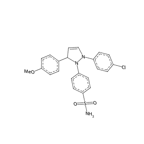 COc1ccc(C2C=CN(c3ccc(Cl)cc3)N2c2ccc(S(N)(=O)=O)cc2)cc1